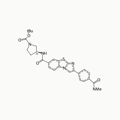 CNC(=O)c1ccc(-c2cn3c(n2)sc2cc(C(=O)N[C@H]4CCN(C(=O)OC(C)(C)C)C4)ccc23)cc1